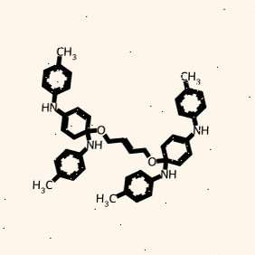 Cc1ccc(NC2=CCC(Nc3ccc(C)cc3)(OCC=CCOC3(Nc4ccc(C)cc4)C=CC(Nc4ccc(C)cc4)=CC3)C=C2)cc1